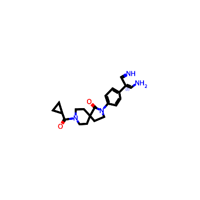 N=C/C(=C\N)c1ccc(N2CCC3(CCN(C(=O)C4CC4)CC3)C2=O)cc1